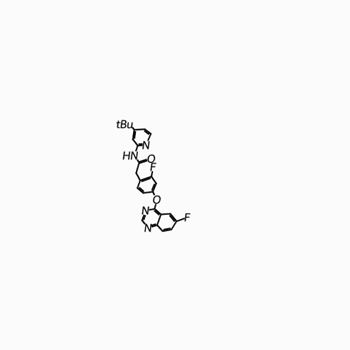 CC(C)(C)c1ccnc(NC(=O)Cc2ccc(Oc3ncnc4ccc(F)cc34)cc2F)c1